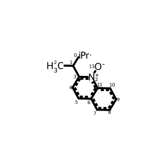 C[C](C)C(C)c1ccc2ccccc2[n+]1[O-]